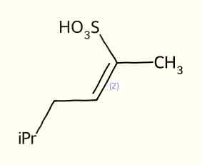 C/C(=C/CC(C)C)S(=O)(=O)O